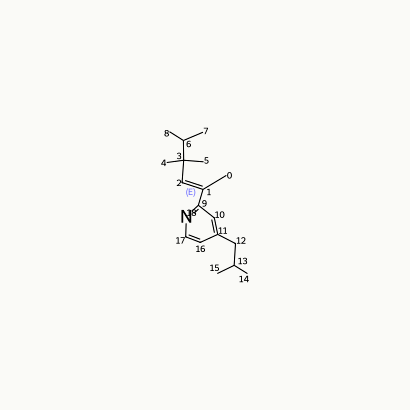 C/C(=C\C(C)(C)C(C)C)c1cc(CC(C)C)ccn1